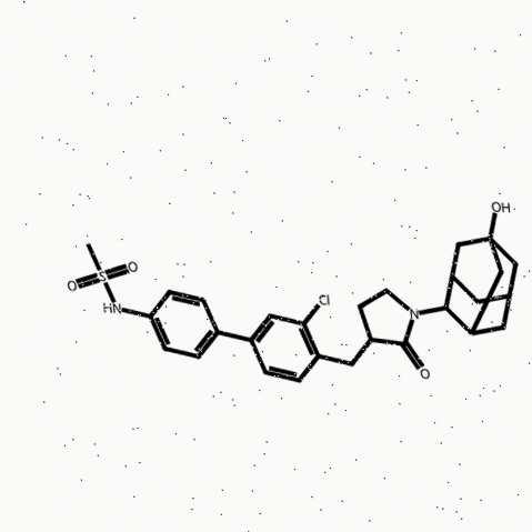 CS(=O)(=O)Nc1ccc(-c2ccc(CC3CCN(C4C5CC6CC4CC(O)(C6)C5)C3=O)c(Cl)c2)cc1